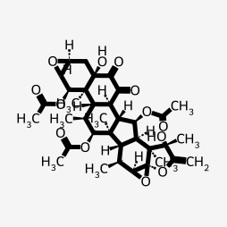 C=C1O[C@]23O[C@H]2[C@@H](C)[C@H]2[C@@H]([C@H](OC(C)=O)[C@H]4[C@@H]5C(=O)C(=O)[C@@]6(O)C[C@@H]7O[C@@H]7[C@H](OC(C)=O)[C@]6(C)[C@H]5[C@H](C)[C@H](OC(C)=O)[C@@]42C)[C@@]3(C)[C@]1(C)O